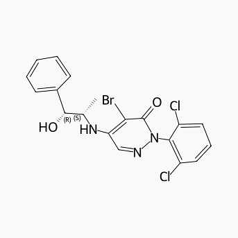 C[C@H](Nc1cnn(-c2c(Cl)cccc2Cl)c(=O)c1Br)[C@H](O)c1ccccc1